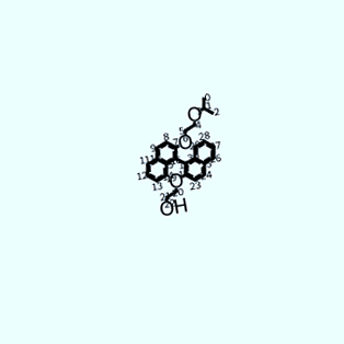 CC(C)OCCOc1ccc2ccccc2c1-c1c(OCCO)ccc2ccccc12